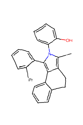 Cc1c2c(c(-c3ccccc3C(C)C)n1-c1ccccc1O)-c1ccccc1CC2